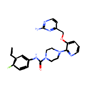 CCc1cc(NC(=O)N2CCN(c3ncccc3OCc3ccnc(N)n3)CC2)ccc1F